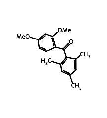 COc1ccc(C(=O)c2c(C)cc(C)cc2C)c(OC)c1